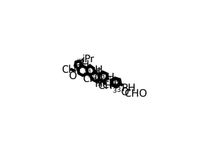 CC(C)[C@@H]1CC[C@]2(C(=O)Cl)CC[C@]3(C)[C@H](CC[C@@H]4[C@@]5(C)CC[C@H](c6ccc(POC=O)cc6)C(C)(C)[C@@H]5CC[C@]43C)[C@@H]12